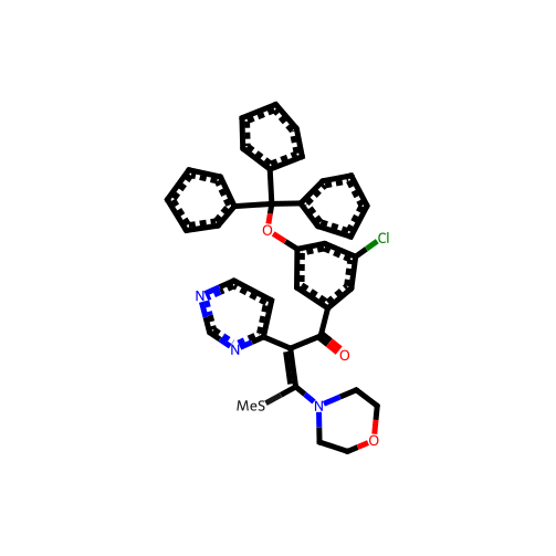 CSC(=C(C(=O)c1cc(Cl)cc(OC(c2ccccc2)(c2ccccc2)c2ccccc2)c1)c1ccncn1)N1CCOCC1